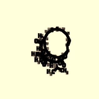 CC(C)[C@@H]1NC(=O)CC2/C=C/CCSSC[C@@H](NC1=O)C(=O)NC(C)(C)C(=O)N[C@@H](C(C)C)C(=O)O2